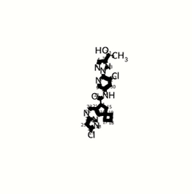 C[C@@H](O)c1cnn(-c2ncc(NC(=O)[C@H]3CC4(CCC4)c4c3cnc3cc(Cl)nn43)cc2Cl)n1